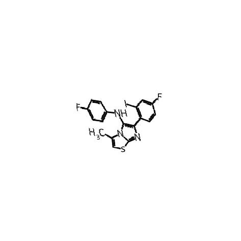 Cc1csc2nc(-c3ccc(F)cc3I)c(Nc3ccc(F)cc3)n12